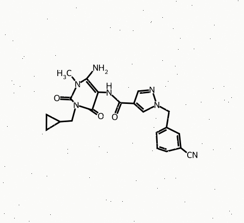 Cn1c(N)c(NC(=O)c2cnn(Cc3cccc(C#N)c3)c2)c(=O)n(CC2CC2)c1=O